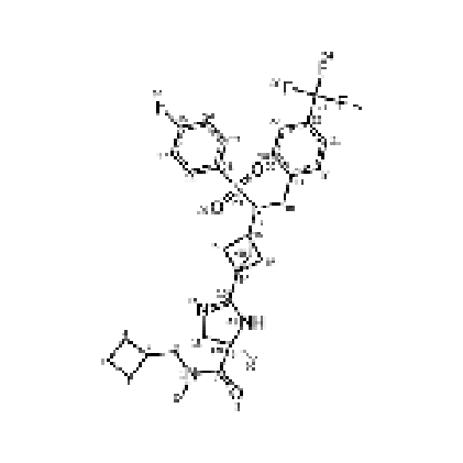 CN(CC1CCC1)C(=O)[C@@]1(C)CN=C(C23CC(N(Cc4ccc(C(F)(F)F)cc4)S(=O)(=O)c4ccc(F)cc4)(C2)C3)N1